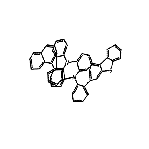 c1cc(-c2cccc3ccccc23)cc(N(c2ccccc2-c2ccc3c(c2)sc2ccccc23)c2ccccc2-n2c3ccccc3c3ccccc32)c1